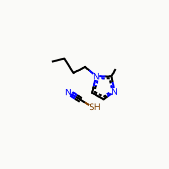 CCCCn1ccnc1C.N#CS